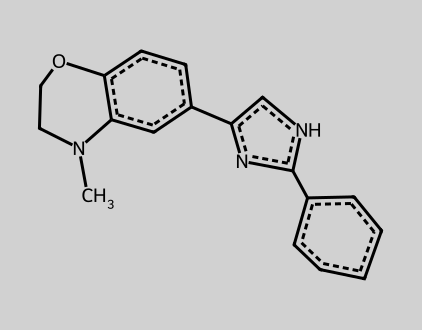 CN1CCOc2ccc(-c3c[nH]c(-c4ccccc4)n3)cc21